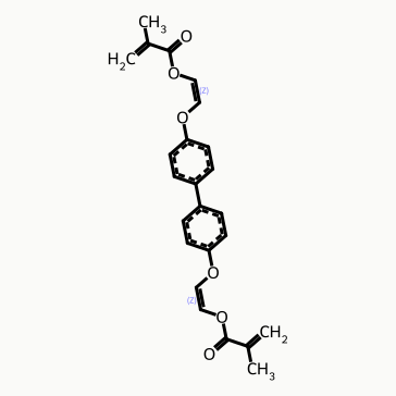 C=C(C)C(=O)O/C=C\Oc1ccc(-c2ccc(O/C=C\OC(=O)C(=C)C)cc2)cc1